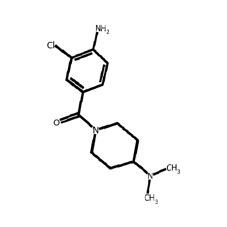 CN(C)C1CCN(C(=O)c2ccc(N)c(Cl)c2)CC1